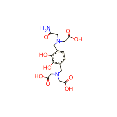 NC(=O)CN(CC(=O)O)Cc1ccc(CN(CC(=O)O)CC(=O)O)c(O)c1O